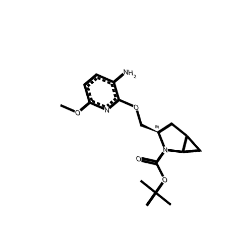 COc1ccc(N)c(OC[C@H]2CC3CC3N2C(=O)OC(C)(C)C)n1